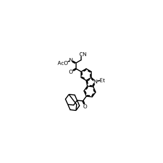 CCn1c2ccc(C(=O)/C(CC#N)=N\OC(C)=O)cc2c2cc(C(=O)C34CC5CC(CC(C5)C3)C4)ccc21